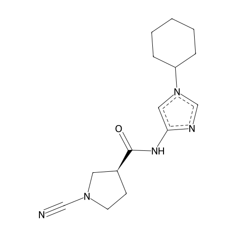 N#CN1CC[C@H](C(=O)Nc2cn(C3CCCCC3)cn2)C1